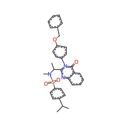 CC(C)c1ccc(S(=O)(=O)N(C)C(C)c2nc3ccccc3c(=O)n2-c2ccc(OCc3ccccc3)cc2)cc1